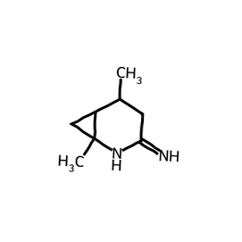 CC1CC(=N)NC2(C)CC12